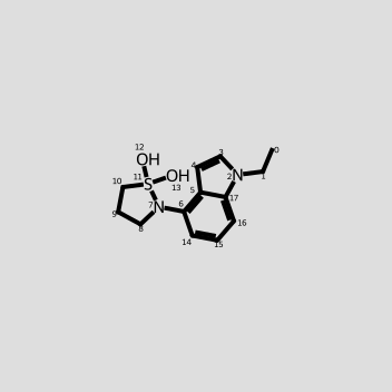 CCn1ccc2c(N3CCCS3(O)O)cccc21